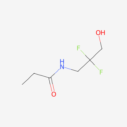 CCC(=O)NCC(F)(F)CO